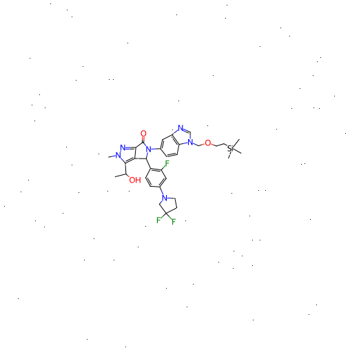 CC(O)c1c2c(nn1C)C(=O)N(c1ccc3c(c1)ncn3COCC[Si](C)(C)C)C2c1ccc(N2CCC(F)(F)C2)cc1F